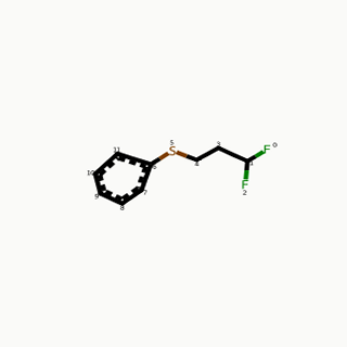 FC(F)C[CH]Sc1ccccc1